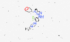 CN1CCN(c2ccc(Nc3ncc4ccn(CC5CCOCC5)c4n3)cc2F)CC1